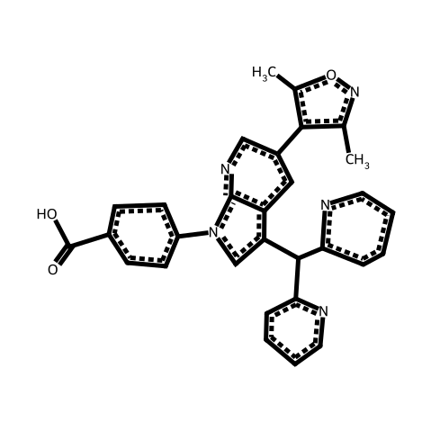 Cc1noc(C)c1-c1cnc2c(c1)c(C(c1ccccn1)c1ccccn1)cn2-c1ccc(C(=O)O)cc1